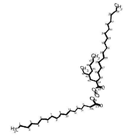 CCCCCCCCCCCCCCCCCC(=O)OOOC(=O)C(CCCCCCCCCCCCCCCC)CC(CC)CCCC